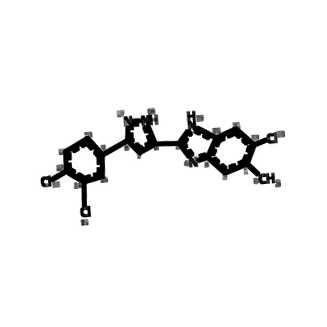 Cc1cc2nc(-c3cc(-c4ccc(Cl)c(Cl)c4)n[nH]3)[nH]c2cc1Cl